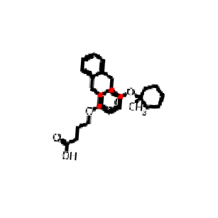 CC1(OC(=O)C2C3c4ccccc4C(c4ccccc43)C2C(=O)OCCCC(=O)O)CCCCC1